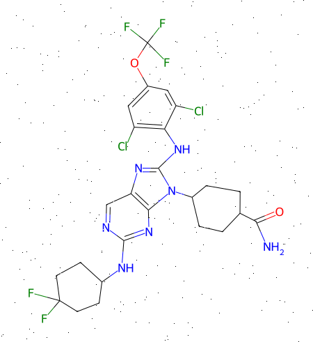 NC(=O)C1CCC(n2c(Nc3c(Cl)cc(OC(F)(F)F)cc3Cl)nc3cnc(NC4CCC(F)(F)CC4)nc32)CC1